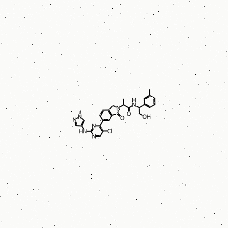 Cc1cccc(C(CO)NC(=O)C(C)N2Cc3ccc(-c4nc(Nc5cnn(C)c5)ncc4Cl)cc3C2=O)c1